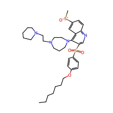 CCCCCCCOc1ccc(S(=O)(=O)c2cnc3ccc([S+](C)[O-])cc3c2N2CCCN(CCN3CCCCC3)CC2)cc1